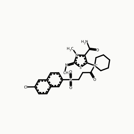 C/N=c1\sc([N+]2(C(=O)CCS(=O)(=O)c3ccc4cc(Cl)ccc4c3)CCCCC2)c(C(N)=O)n1C